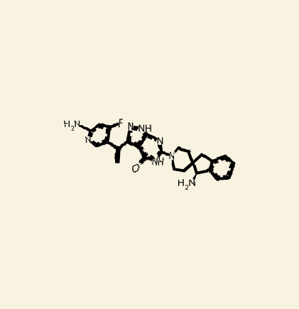 C=C(c1cnc(N)cc1F)c1n[nH]c2nc(N3CCC4(CC3)Cc3ccccc3[C@H]4N)[nH]c(=O)c12